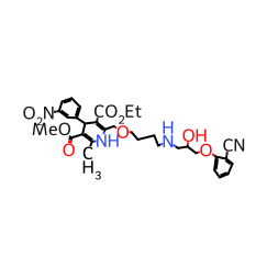 CCOC(=O)C1=C(COCCCCNCC(O)COc2ccccc2C#N)NC(C)=C(C(=O)OC)C1c1cccc([N+](=O)[O-])c1